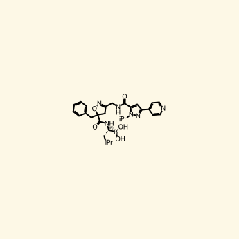 CC(C)C[C@H](NC(=O)C1(Cc2ccccc2)CC(CNC(=O)c2cc(-c3ccncc3)nn2C(C)C)=NO1)B(O)O